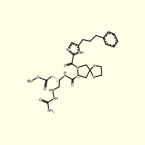 CC(C)(C)OC(=O)C[C@@H](CNNC(N)=O)NC(=O)[C@@H]1CC2(CN1C(=O)c1ncc(CCCc3ccccc3)[nH]1)SCCS2